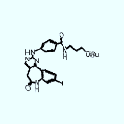 CC(C)COCCCNC(=O)c1ccc(Nc2ncc3c(n2)-c2ccc(I)cc2NC(=O)C3)cc1